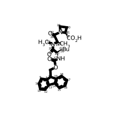 CC[C@H](C)[C@H](NC(=O)OCC1c2ccccc2-c2ccccc21)C(=O)N(C)[C@@H](C)C(=O)N1CC[C@H]1C(=O)O